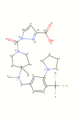 CN(Cc1ccc(C(F)(F)F)c(N2CCCC2)c1)C1(C)CCN(C(=O)n2ccc(C(=O)O)n2)CC1